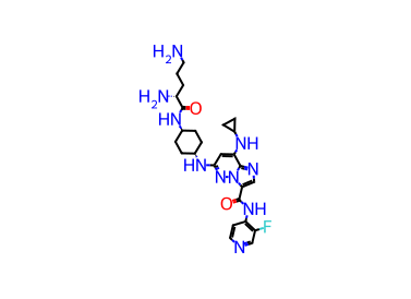 NCCC[C@@H](N)C(=O)N[C@H]1CC[C@H](Nc2cc(NC3CC3)c3ncc(C(=O)Nc4ccncc4F)n3n2)CC1